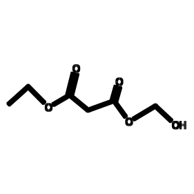 CCOC(=O)CC(=O)OCO